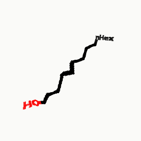 [CH2]CCCCCCCCCCCCCCO